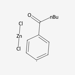 CCCCC(=O)c1cc[c]cc1.[Cl][Zn][Cl]